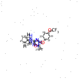 Cc1nnc(N2C[C@H]3CC[C@@H](C2)[C@H]3Nc2nc(Oc3ccc(OC(F)(F)F)cc3)n(C(C)C)n2)o1